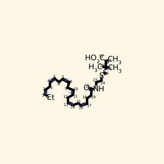 CC/C=C\C/C=C\C/C=C\C/C=C\C/C=C\C/C=C\CCC(=O)NCCSSC(C)(C)[C@@H](C)C(=O)O